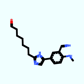 CNc1ccc(-c2cnc(CCCCCCC=O)[nH]2)cc1C=N